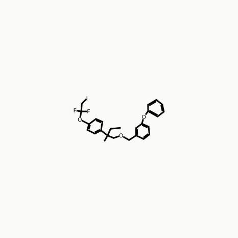 CCC(C)(COCc1cccc(Oc2ccccc2)c1)c1ccc(OC(F)(F)CI)cc1